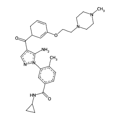 Cc1ccc(C(=O)NC2CC2)cc1-n1ncc(C(=O)C2C=C(OCCN3CCN(C)CC3)C=CC2)c1N